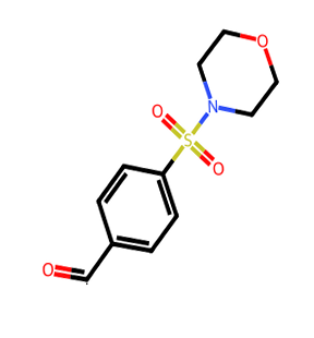 O=[C]c1ccc(S(=O)(=O)N2CCOCC2)cc1